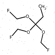 [CH2]CC(OCF)(OCF)OCF